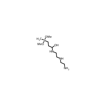 CO[Si](C)(CCC(O)NCCNCCN)OC